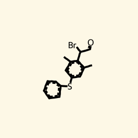 Cc1cc(Sc2ccccc2)cc(C)c1C(Br)C=O